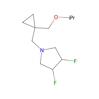 CC(C)OCC1(CN2CC(F)C(F)C2)CC1